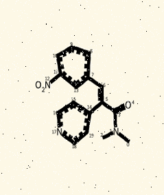 CN(C)C(=O)C(=Cc1cccc([N+](=O)[O-])c1)c1ccncc1